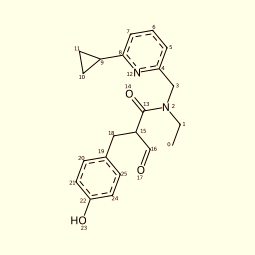 CCN(Cc1cccc(C2CC2)n1)C(=O)C(C=O)Cc1ccc(O)cc1